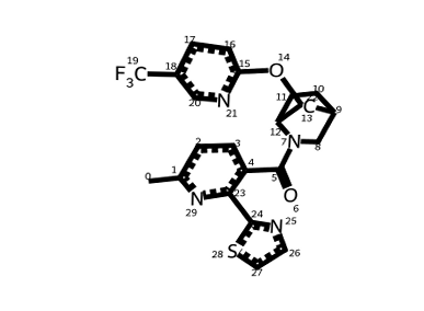 Cc1ccc(C(=O)N2CC3CCC2C(Oc2ccc(C(F)(F)F)cn2)C3)c(-c2nccs2)n1